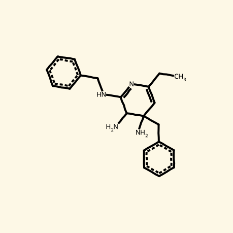 CCC1=CC(N)(Cc2ccccc2)C(N)C(NCc2ccccc2)=N1